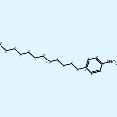 O=[N+]([O-])c1ccc(CCCCOCCCCCCBr)cc1